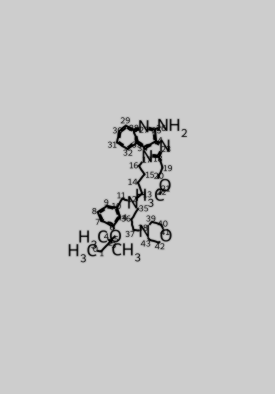 CCC(C)(C)Oc1cccc(CN(CCCCn2c(CCOC)nc3c(N)nc4ccccc4c32)CCCN2CCOCC2)c1